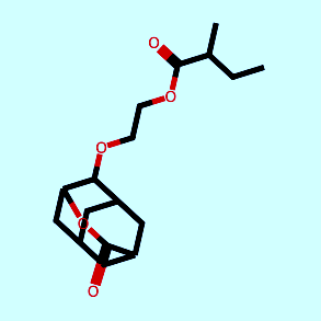 CCC(C)C(=O)OCCOC1C2CC3CC(C2)C(=O)OC1C3